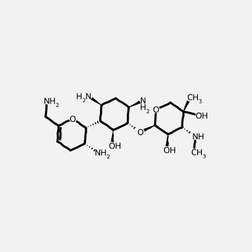 CN[C@@H]1[C@@H](O)[C@@H](O[C@H]2[C@H](N)C[C@H](N)C([C@H]3OC(CN)=CC[C@H]3N)[C@@H]2O)OC[C@]1(C)O